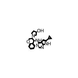 O[C@@H]1CCN([C@H]2COc3ccccc3[C@@H]2Nc2ncnc3[nH]c(C4CC4)cc23)C1